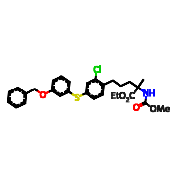 CCOC(=O)C(C)(CCCc1ccc(Sc2cccc(OCc3ccccc3)c2)cc1Cl)NC(=O)OC